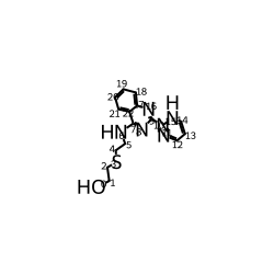 OCCSCCNc1nc(N2N=CC=CN2)nc2ccccc12